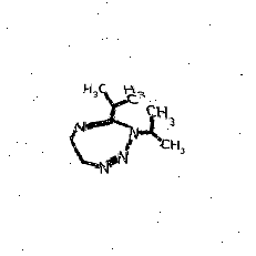 CC(C)C1=NCCN=NN1C(C)C